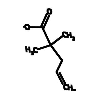 C=CCC(C)(C)C([O])=O